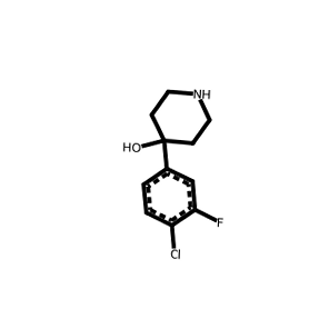 OC1(c2ccc(Cl)c(F)c2)CCNCC1